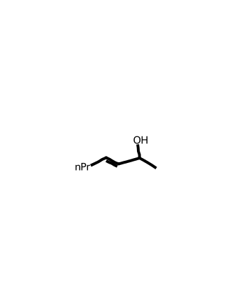 CCCC=CC(C)O